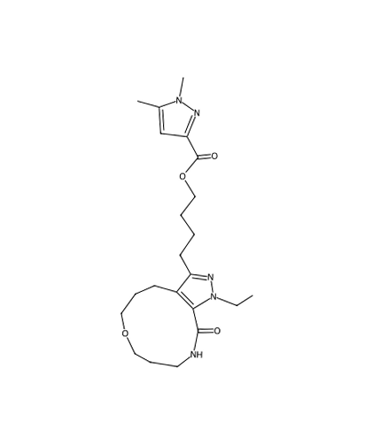 CCn1nc(CCCCOC(=O)c2cc(C)n(C)n2)c2c1C(=O)NCCCOCCC2